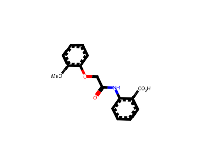 COc1ccccc1OCC(=O)Nc1ccccc1C(=O)O